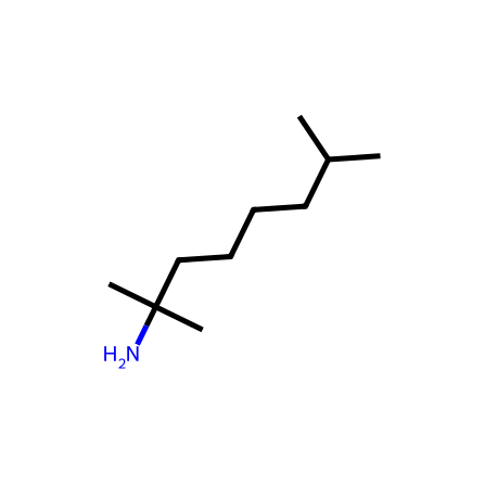 CC(C)CCCCC(C)(C)N